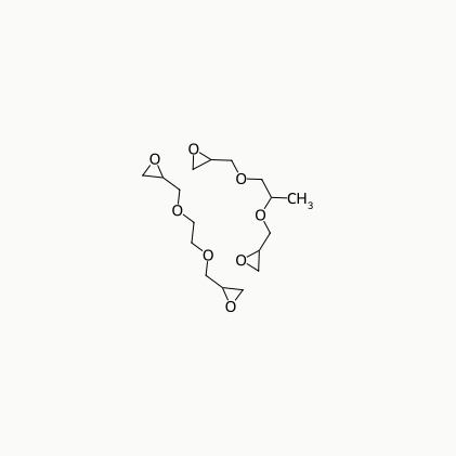 C(COCC1CO1)OCC1CO1.CC(COCC1CO1)OCC1CO1